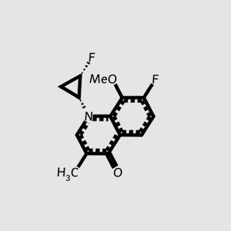 COc1c(F)ccc2c(=O)c(C)cn([C@@H]3C[C@@H]3F)c12